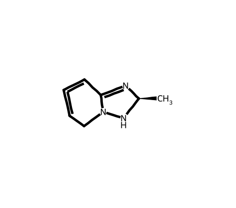 C[C@@H]1N=C2C=C=CCN2N1